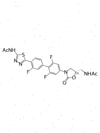 CC(=O)NC[C@H]1CN(c2cc(F)c(-c3ccc(-c4nnc(NC(C)=O)s4)c(F)c3)c(F)c2)C(=O)O1